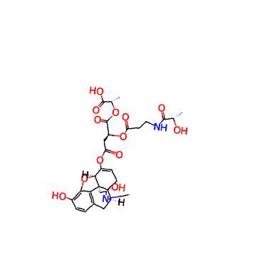 C[C@H](O)C(=O)NCCC(=O)O[C@@H](CC(=O)OC1=CC[C@@]2(O)[C@H]3Cc4ccc(O)c5c4[C@@]2(CCN3C)[C@H]1O5)C(=O)O[C@@H](C)C(=O)O